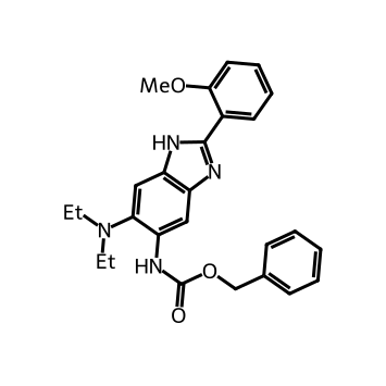 CCN(CC)c1cc2[nH]c(-c3ccccc3OC)nc2cc1NC(=O)OCc1ccccc1